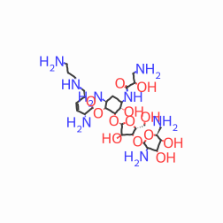 NCCCNC[C@@H]1C=C[C@@H](N)[C@@H](O[C@H]2[C@H](O[C@@H]3O[C@H](CO)[C@@H](O[C@H]4O[C@@H](CN)[C@@H](O)[C@H](O)[C@H]4N)[C@H]3O)[C@@H](O)[C@H](NC(=O)C(O)CN)C[C@@H]2N)O1